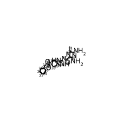 Nc1nc(N)c(C(=O)/N=C2\NCC3(CCN(S(=O)(=O)Cc4ccccc4)CC3)N2)nc1I